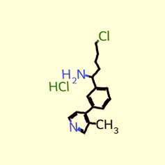 Cc1cnccc1-c1cccc(C(N)CCCCCl)c1.Cl